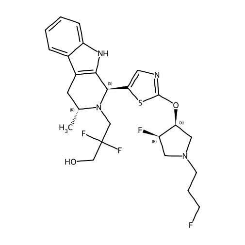 C[C@@H]1Cc2c([nH]c3ccccc23)[C@@H](c2cnc(O[C@H]3CN(CCCF)C[C@H]3F)s2)N1CC(F)(F)CO